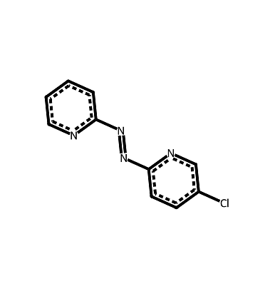 Clc1ccc(N=Nc2ccccn2)nc1